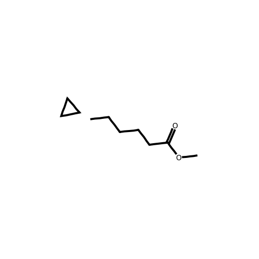 C1CC1.CCCCCC(=O)OC